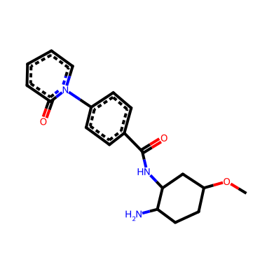 COC1CCC(N)C(NC(=O)c2ccc(-n3ccccc3=O)cc2)C1